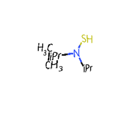 CC.CC(C)N(S)C(C)C